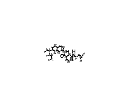 C/C=C\N(C)/C(=C\C)c1ccc2cnc(NC(=O)c3ccnc(NCCN(C)C)c3)cc2c1